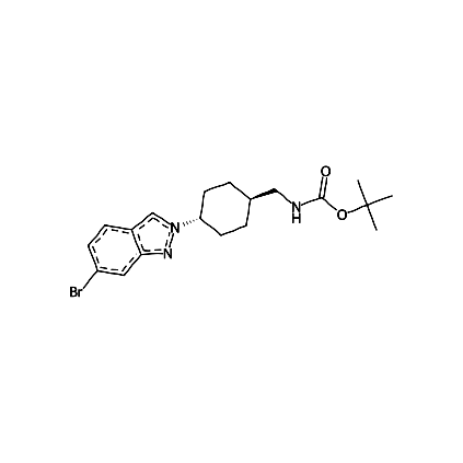 CC(C)(C)OC(=O)NC[C@H]1CC[C@H](n2cc3ccc(Br)cc3n2)CC1